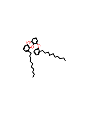 CCCCCCCCCCc1ccccc1Oc1cccc(O)c1Oc1ccccc1CCCCCCCCCC